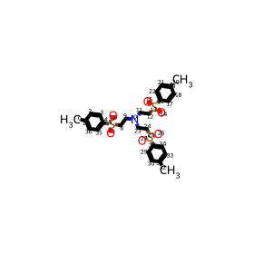 Cc1ccc(S(=O)(=O)CCN(CCS(=O)(=O)c2ccc(C)cc2)CCS(=O)(=O)c2ccc(C)cc2)cc1